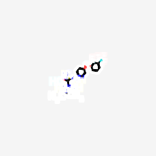 CC(C)NC(=N)c1c(O)nsc1Nc1ccc(Oc2cccc(C(F)(F)F)c2F)cc1